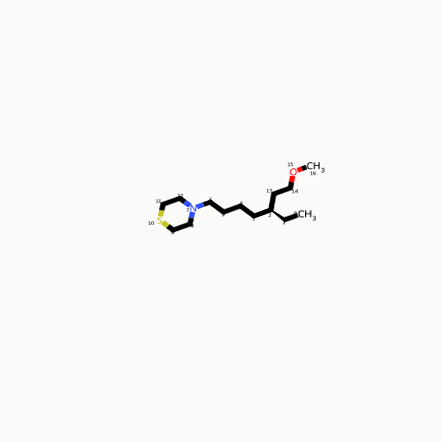 CC[C@@H](CCCCN1CCSCC1)CCOC